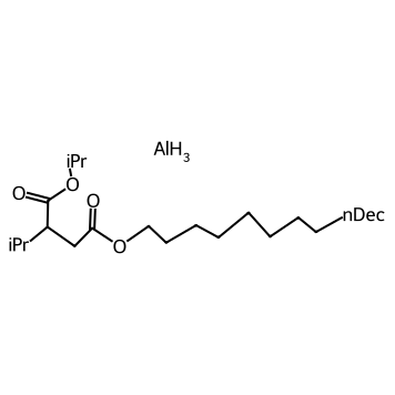 CCCCCCCCCCCCCCCCCCOC(=O)CC(C(=O)OC(C)C)C(C)C.[AlH3]